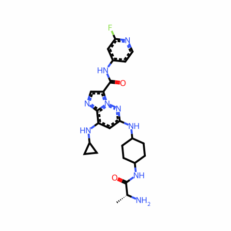 C[C@@H](N)C(=O)NC1CCC(Nc2cc(NC3CC3)c3ncc(C(=O)Nc4ccnc(F)c4)n3n2)CC1